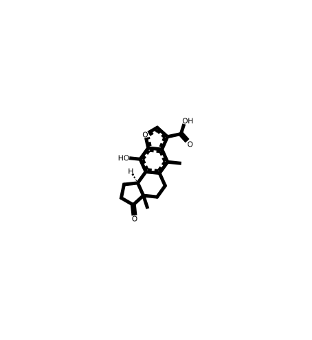 Cc1c2c(c(O)c3occ(C(=O)O)c13)[C@@H]1CCC(=O)C1(C)CC2